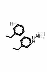 CCc1ccccc1.CCc1ccccc1.[AlH3].[HH].[HH].[LiH]